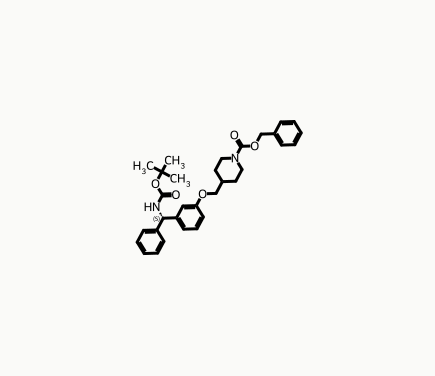 CC(C)(C)OC(=O)N[C@@H](c1ccccc1)c1cccc(OCC2CCN(C(=O)OCc3ccccc3)CC2)c1